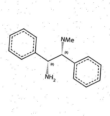 CN[C@H](c1ccccc1)[C@H](N)c1ccccc1